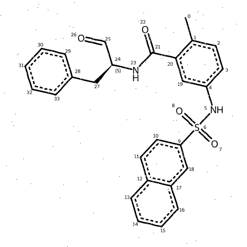 Cc1ccc(NS(=O)(=O)c2ccc3ccccc3c2)cc1C(=O)N[C@H](C=O)Cc1ccccc1